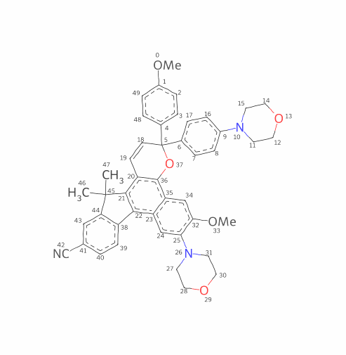 COc1ccc(C2(c3ccc(N4CCOCC4)cc3)C=Cc3c4c(c5cc(N6CCOCC6)c(OC)cc5c3O2)-c2ccc(C#N)cc2C4(C)C)cc1